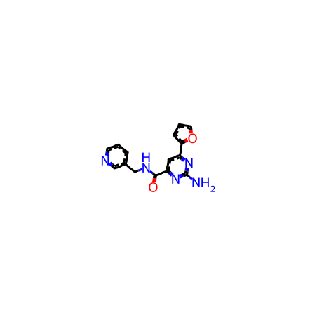 Nc1nc(C(=O)NCc2cccnc2)cc(-c2ccco2)n1